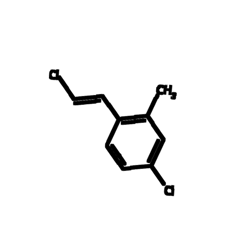 Cc1cc(Cl)ccc1C=CCl